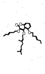 CCC=CCCOc1c(OC/C=C(\C)CCC=C(C)C)c2c(OCCC=CCC)cccc2oc1=O